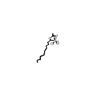 CCCCCCCCCCC(OC(C)=O)[Si](Cl)(Cl)Cl